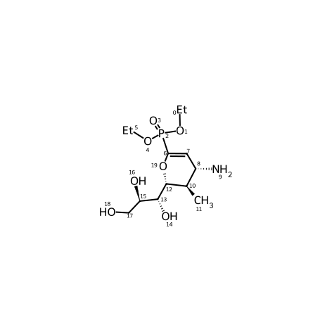 CCOP(=O)(OCC)C1=C[C@H](N)[C@@H](C)[C@H]([C@H](O)[C@H](O)CO)O1